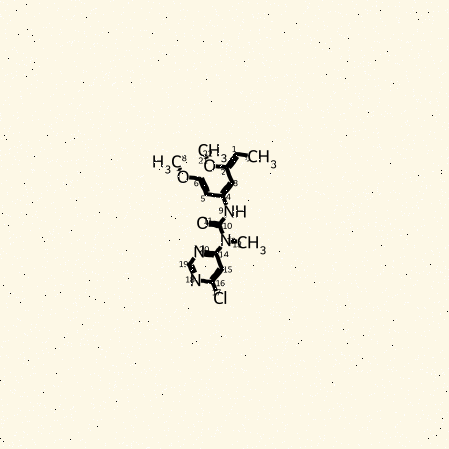 C\C=C(/C=C(\C=C\OC)NC(=O)N(C)c1cc(Cl)ncn1)OC